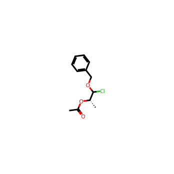 CC(=O)O[C@@H](C)C(Cl)OCc1ccccc1